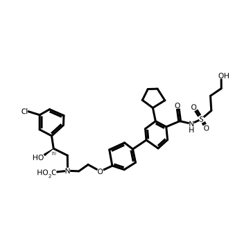 O=C(NS(=O)(=O)CCCO)c1ccc(-c2ccc(OCCN(C[C@@H](O)c3cccc(Cl)c3)C(=O)O)cc2)cc1C1CCCC1